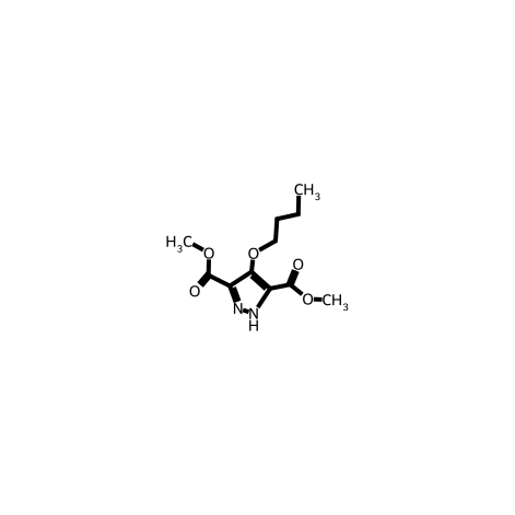 CCCCOc1c(C(=O)OC)n[nH]c1C(=O)OC